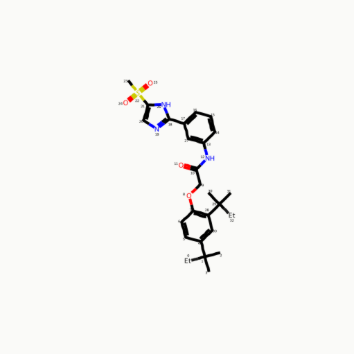 CCC(C)(C)c1ccc(OCC(=O)Nc2cccc(-c3ncc(S(C)(=O)=O)[nH]3)c2)c(C(C)(C)CC)c1